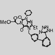 CCc1nc2c(c(=O)n(CC(=O)OC)c(=O)n2-c2ccccc2)n1Cc1ccc(-c2ccccc2-c2nnn[nH]2)cc1